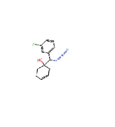 [N-]=[N+]=NC(c1cccc(Cl)c1)C1(O)CC=CCC1